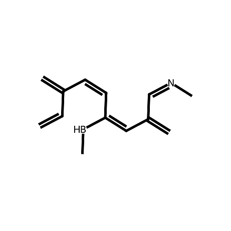 C=CC(=C)/C=C\C(BC)=C/C(=C)/C=N\C